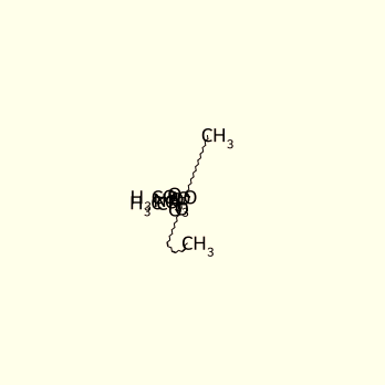 CC/C=C\C/C=C\C/C=C\CCCCCCCCCC(=O)O[C@H](COC(=O)CCCCCCCCCCCCCCCCCCC)COP(=O)([O-])OCC[N+](C)(C)C